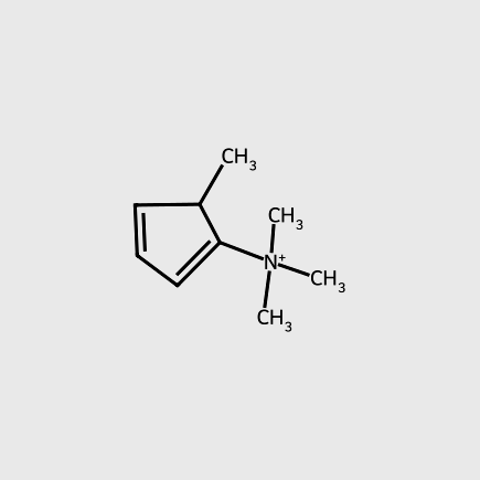 CC1C=CC=C1[N+](C)(C)C